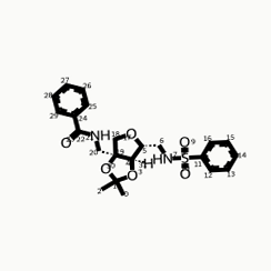 CC1(C)O[C@@H]2[C@@H](CNS(=O)(=O)c3ccccc3)OC[C@]2(CNC(=O)c2ccccc2)O1